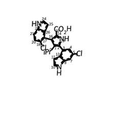 CC(C)c1c(-c2cc(Cl)cc3[nH]ccc23)[nH]c(C(=O)O)c1-c1c(Cl)ccc2[nH]ccc12